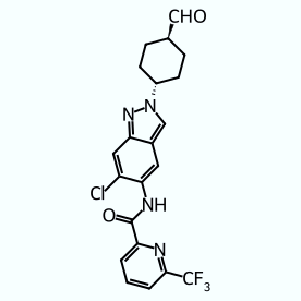 O=C[C@H]1CC[C@H](n2cc3cc(NC(=O)c4cccc(C(F)(F)F)n4)c(Cl)cc3n2)CC1